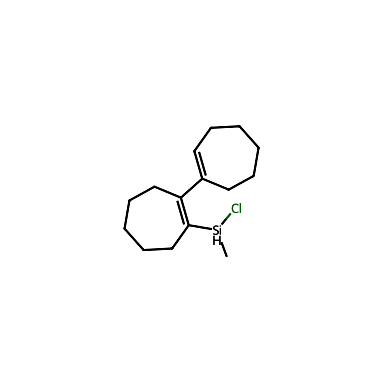 C[SiH](Cl)C1=C(C2=CCCCCC2)CCCCC1